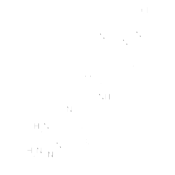 CN(N)/N=C(\N)c1ncc(NC(=O)C2CC(C)(C)c3c2cnc2cc(Cl)nn32)cc1Cl